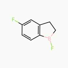 FB1CCc2cc(F)ccc21